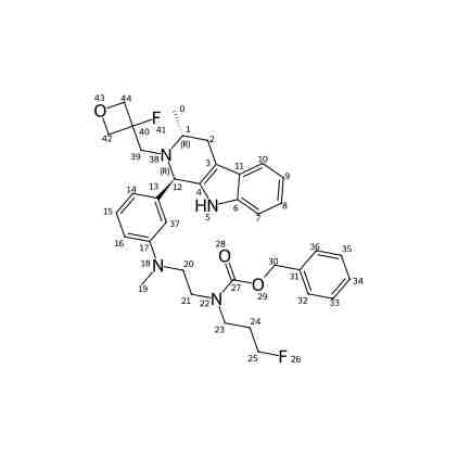 C[C@@H]1Cc2c([nH]c3ccccc23)[C@@H](c2cccc(N(C)CCN(CCCF)C(=O)OCc3ccccc3)c2)N1CC1(F)COC1